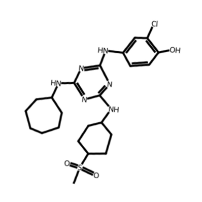 CS(=O)(=O)C1CCC(Nc2nc(Nc3ccc(O)c(Cl)c3)nc(NC3CCCCCC3)n2)CC1